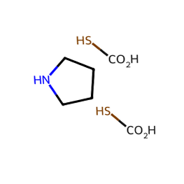 C1CCNC1.O=C(O)S.O=C(O)S